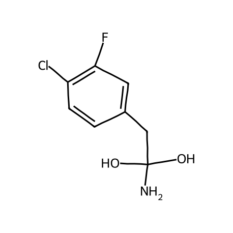 NC(O)(O)Cc1ccc(Cl)c(F)c1